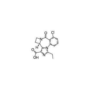 CCc1nc(C(=O)O)c2n1-c1cccc(Cl)c1C(=O)N1CC[C@@H]21